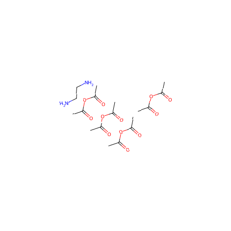 CC(=O)OC(C)=O.CC(=O)OC(C)=O.CC(=O)OC(C)=O.CC(=O)OC(C)=O.NCCN